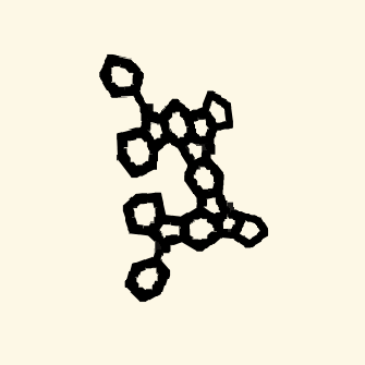 c1ccc(-n2c3ccccc3c3c4c5cc6c7c8c9ccccc9n(-c9ccccc9)c8cc8c9c(n(c6cc5n5c6c(c(cc32)c45)CCC6)c87)CCC9)cc1